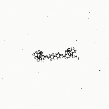 CN1c2ccccc2S(=O)(=O)c2cc(C=Cc3ccc(-c4ccc(C=Cc5ccc6c(c5)S(=O)(=O)c5ccccc5N6C)cc4)cc3)ccc21